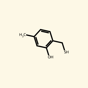 Cc1ccc(CS)c(O)c1